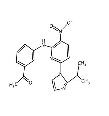 CC(=O)c1cccc(Nc2nc(-n3ccnc3C(C)C)ccc2[N+](=O)[O-])c1